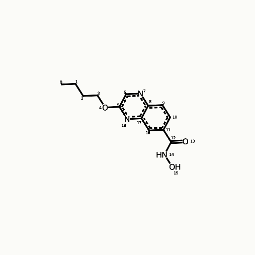 CCCCOc1cnc2ccc(C(=O)NO)cc2n1